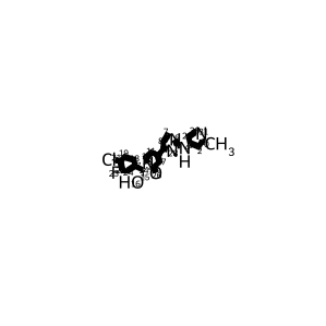 Cc1cc(Nc2nccc(-c3ccn([C@H](CO)c4ccc(Cl)c(F)c4)c(=O)c3)n2)ccn1